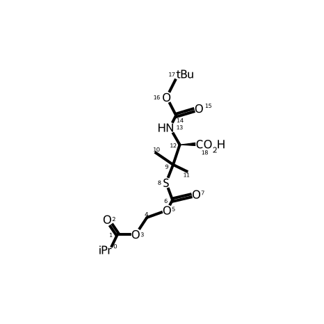 CC(C)C(=O)OCOC(=O)SC(C)(C)[C@@H](NC(=O)OC(C)(C)C)C(=O)O